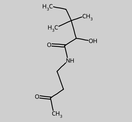 CCC(C)(C)C(O)C(=O)NCCC(C)=O